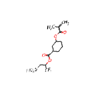 C=C(C)C(=O)OC1CCCC(C(=O)OC(CS(=O)(=O)O)C(F)(F)F)C1